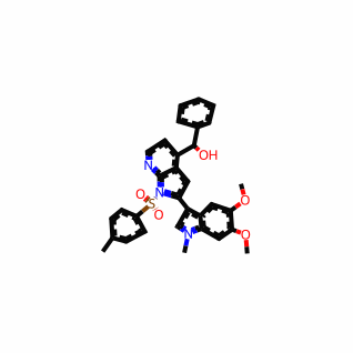 COc1cc2c(-c3cc4c(C(O)c5ccccc5)ccnc4n3S(=O)(=O)c3ccc(C)cc3)cn(C)c2cc1OC